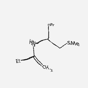 C=C(CC)NC(CCC)CSC